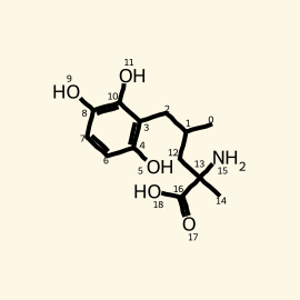 CC(Cc1c(O)ccc(O)c1O)CC(C)(N)C(=O)O